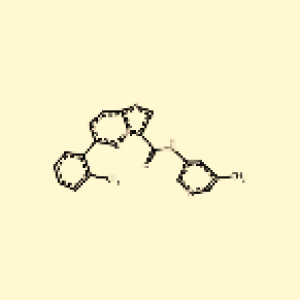 Cc1cncc(NC(=O)c2cnc3ccc(-c4ccccc4C(F)(F)F)nn23)c1